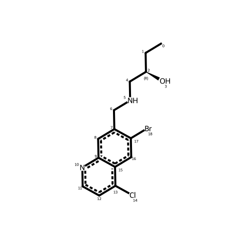 CC[C@@H](O)CNCc1cc2nccc(Cl)c2cc1Br